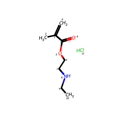 C=C(C)C(=O)OCCNCC.Cl